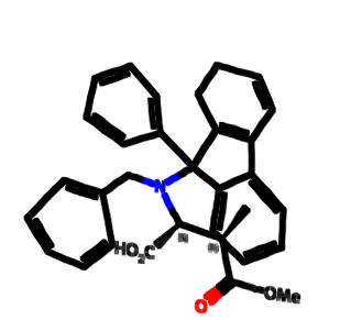 COC(=O)[C@H](C)[C@@H](C(=O)O)N(Cc1ccccc1)C1(c2ccccc2)C2=C(C=CCC2)c2ccccc21